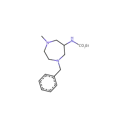 CCOC(=O)NC1CN(C)CCN(Cc2ccccc2)C1